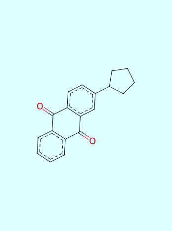 O=C1c2ccccc2C(=O)c2cc(C3CCCC3)ccc21